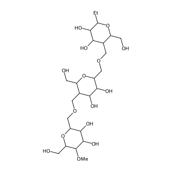 CCC1OC(CO)C(COCC2OC(CO)C(COCC3OC(CO)C(OC)C(O)C3O)C(O)C2O)C(O)C1O